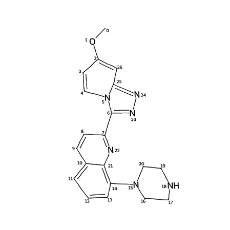 COc1ccn2c(-c3ccc4cccc(N5CCNCC5)c4n3)nnc2c1